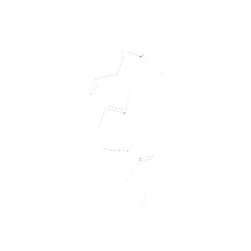 CCOC(=O)C1COc2ccc(OC(C)=O)cc2O1